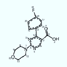 O=C(O)c1cnc(N2CCOCC2)nc1-c1ccc(F)cc1